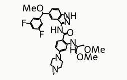 COCC(COC)Nc1cc(N2CCN(C)CC2)ccc1C(=O)Nc1n[nH]c2ccc(C(OC)c3cc(F)cc(F)c3)cc12